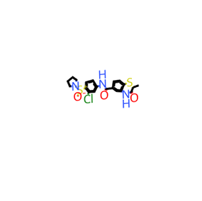 CC1Sc2ccc(C(=O)Nc3ccc([S+]([O-])N4CCCC4)c(Cl)c3)cc2NC1=O